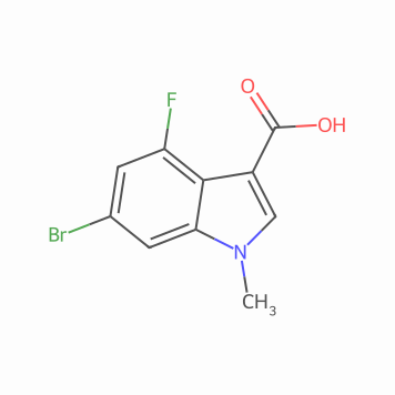 Cn1cc(C(=O)O)c2c(F)cc(Br)cc21